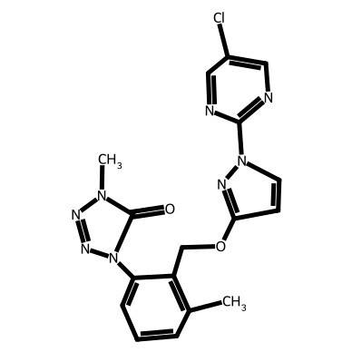 Cc1cccc(-n2nnn(C)c2=O)c1COc1ccn(-c2ncc(Cl)cn2)n1